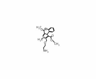 CCOC(=O)C1=C(COCCN)N(C)C=C(C(=O)OC)C1c1ccccc1Cl